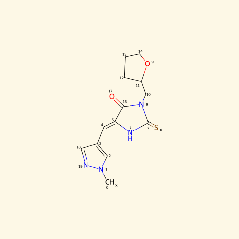 Cn1cc(/C=C2\NC(=S)N(CC3CCCO3)C2=O)cn1